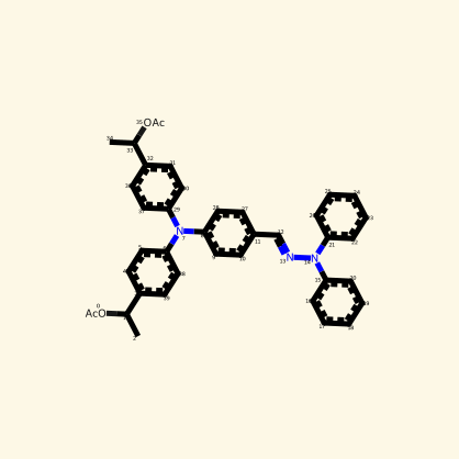 CC(=O)OC(C)c1ccc(N(c2ccc(C=NN(c3ccccc3)c3ccccc3)cc2)c2ccc(C(C)OC(C)=O)cc2)cc1